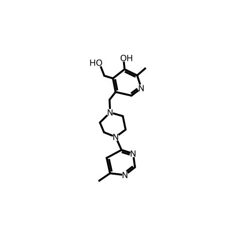 Cc1cc(N2CCN(Cc3cnc(C)c(O)c3CO)CC2)ncn1